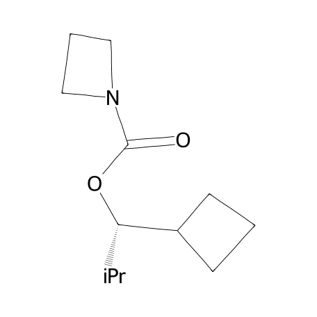 CC(C)[C@H](OC(=O)N1CCC1)C1CCC1